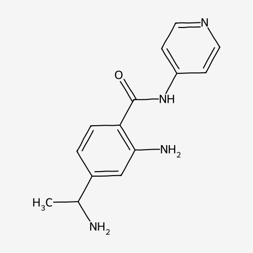 CC(N)c1ccc(C(=O)Nc2ccncc2)c(N)c1